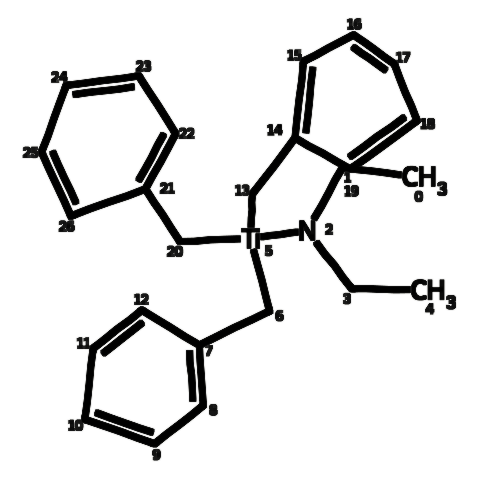 CC[N](CC)[Ti]([CH2]c1ccccc1)([CH2]c1ccccc1)[CH2]c1ccccc1